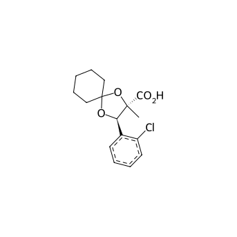 C[C@]1(C(=O)O)OC2(CCCCC2)O[C@@H]1c1ccccc1Cl